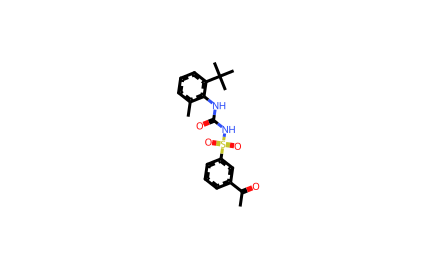 CC(=O)c1cccc(S(=O)(=O)NC(=O)Nc2c(C)cccc2C(C)(C)C)c1